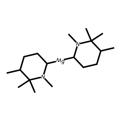 CC1CC[CH]([Mg][CH]2CCC(C)C(C)(C)N2C)N(C)C1(C)C